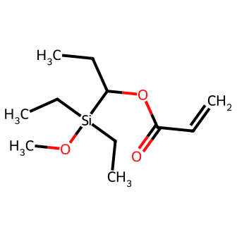 C=CC(=O)OC(CC)[Si](CC)(CC)OC